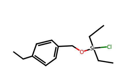 CCc1ccc(CO[Si](Cl)(CC)CC)cc1